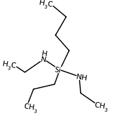 CCCC[Si](CCC)(NCC)NCC